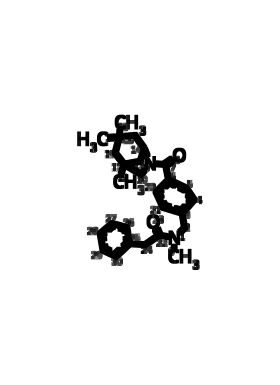 CN(Cc1ccc(C(=O)N2CC3(C)CC2CC(C)(C)C3)cc1)C(=O)Cc1ccccc1